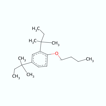 CCC[CH]Oc1ccc(C(C)(C)CC)cc1C(C)(C)CC